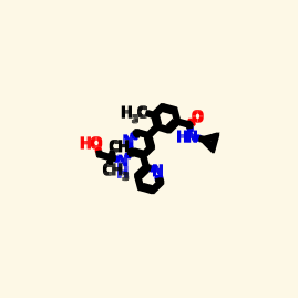 Cc1ccc(C(=O)NC2CC2)cc1-c1cnc(NC(C)(C)CO)c(-c2ccccn2)c1